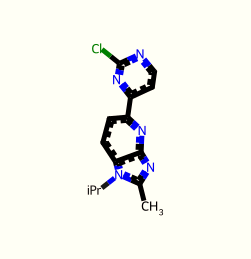 Cc1nc2nc(-c3ccnc(Cl)n3)ccc2n1C(C)C